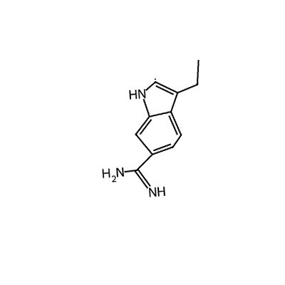 CCc1[c][nH]c2cc(C(=N)N)ccc12